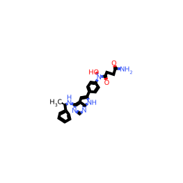 C[C@@H](Nc1ncnc2[nH]c(-c3ccc(N(O)C(=O)CCC(N)=O)cc3)cc12)c1ccccc1